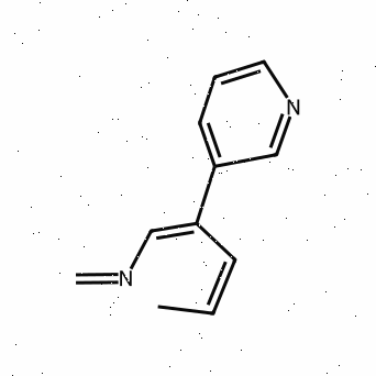 C=N/C=C(\C=C/C)c1cccnc1